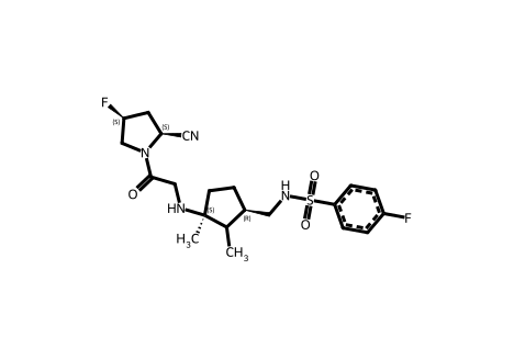 CC1[C@H](CNS(=O)(=O)c2ccc(F)cc2)CC[C@]1(C)NCC(=O)N1C[C@@H](F)C[C@H]1C#N